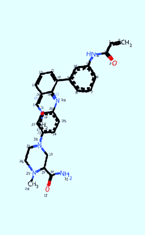 C=CC(=O)Nc1cccc(C2=CC=CC(=C/N=C)/C2=N\c2ccc(N3CCN(C)C(C(N)=O)C3)cc2)c1